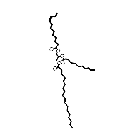 C=CCCCCCCCC(=O)OC(COC(=O)CCCCCCC/C=C\CC)COC(=O)CCCCCCCCCCCCCCCCC